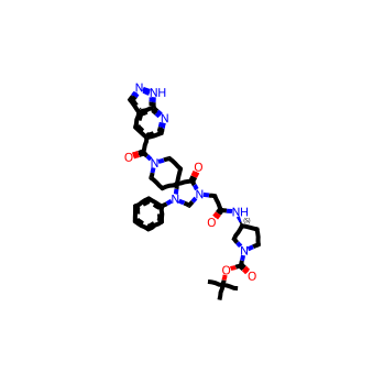 CC(C)(C)OC(=O)N1CC[C@H](NC(=O)CN2CN(c3ccccc3)C3(CCN(C(=O)c4cnc5[nH]ncc5c4)CC3)C2=O)C1